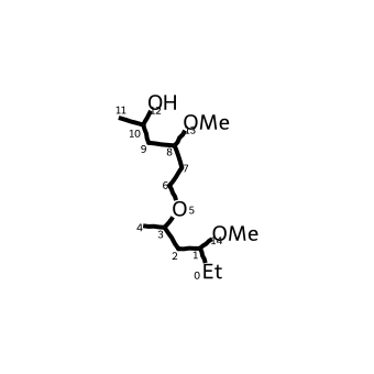 CCC(CC(C)OCCC(CC(C)O)OC)OC